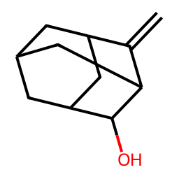 C=C1C2CC3CC(C2)C(O)C1C3